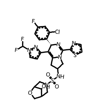 O=S(=O)(NC1CC2=C(c3ccn(C(F)F)n3)[C@H](c3ccc(F)cc3Cl)N=C(c3nccs3)N2C1)N1CC2COC(C1)C2O